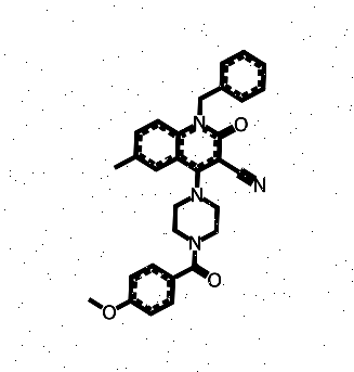 COc1ccc(C(=O)N2CCN(c3c(C#N)c(=O)n(Cc4ccccc4)c4ccc(C)cc34)CC2)cc1